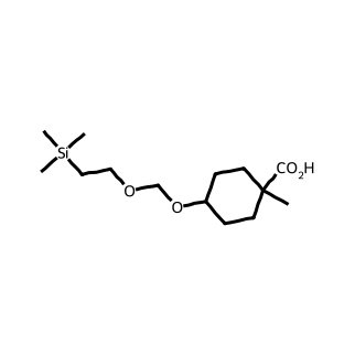 CC1(C(=O)O)CCC(OCOCC[Si](C)(C)C)CC1